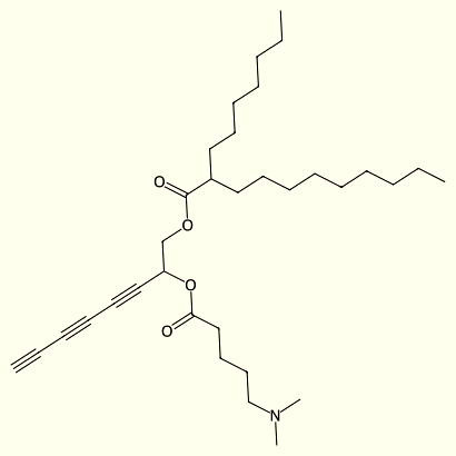 C#CC#CC#CC(COC(=O)C(CCCCCCC)CCCCCCCCC)OC(=O)CCCCN(C)C